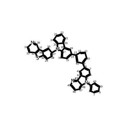 c1ccc(-n2c3ccc(-c4cccc(-c5ccc6c(c5)c5ccccc5n6-c5ccc6sc7ccncc7c6c5)c4)cc3c3ncccc32)cc1